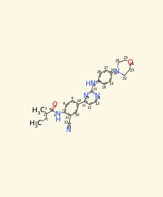 CCC(C)C(=O)Nc1ccc(-c2ccnc(Nc3ccc(N4CCOCC4)cc3)n2)cc1C#N